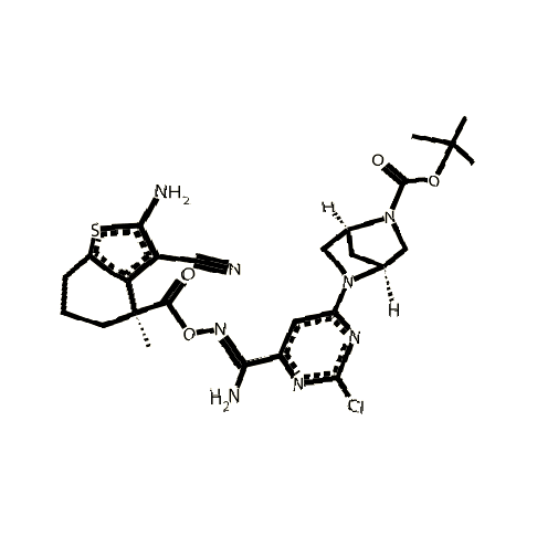 CC(C)(C)OC(=O)N1C[C@@H]2C[C@H]1CN2c1cc(/C(N)=N/OC(=O)[C@@]2(C)CCCc3sc(N)c(C#N)c32)nc(Cl)n1